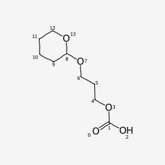 O=C(O)OCCCOC1CCCCO1